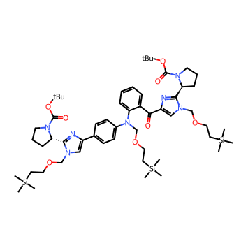 CC(C)(C)OC(=O)N1CCC[C@H]1c1nc(C(=O)c2ccccc2N(COCC[Si](C)(C)C)c2ccc(-c3cn(COCC[Si](C)(C)C)c([C@@H]4CCCN4C(=O)OC(C)(C)C)n3)cc2)cn1COCC[Si](C)(C)C